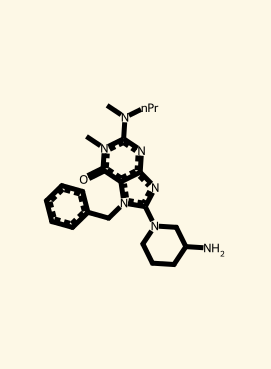 CCCN(C)c1nc2nc(N3CCCC(N)C3)n(Cc3ccccc3)c2c(=O)n1C